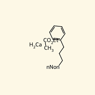 CCCCCCCCCCCCc1ccccc1.CCOC(C)=O.[CaH2]